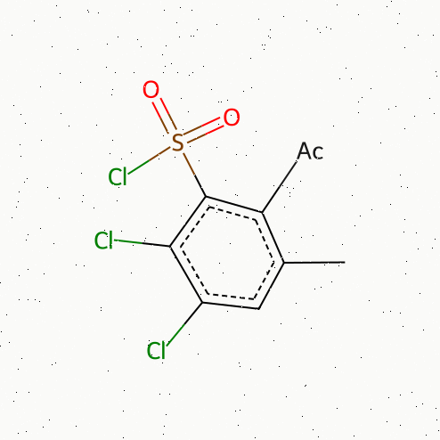 CC(=O)c1c(C)cc(Cl)c(Cl)c1S(=O)(=O)Cl